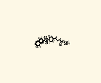 O=C(CCCC1CCN(S(=O)(=O)c2ccc3ccccc3c2)CC1)NO